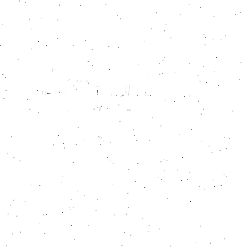 CC(C)(C)OC(=O)N[C@H]1CCCCC/C=C\[C@@H]2C[C@@]2(C(=O)O)NC(=O)[C@@H]2C[C@@H](NC(=S)N3CCc4ccccc4C3)CN2C1=O